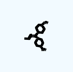 CC=C[SiH](N1CCN(CCC)CC1)N1CCN(CCC)CC1